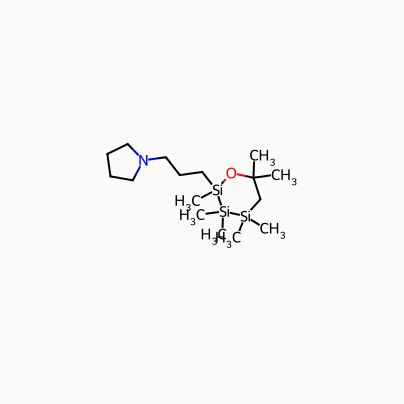 CC1(C)C[Si](C)(C)[Si](C)(C)[Si](C)(CCCN2CCCC2)O1